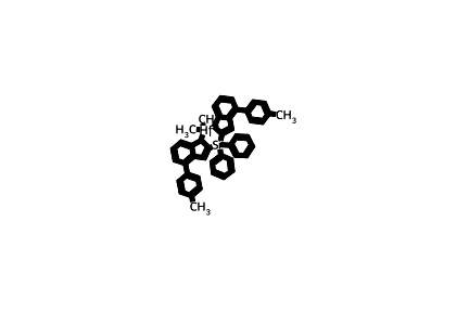 Cc1ccc(-c2cccc3c2C=C2[CH]3[Hf]([CH3])([CH3])[CH]3C(=Cc4c(-c5ccc(C)cc5)cccc43)[Si]2(c2ccccc2)c2ccccc2)cc1